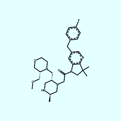 COC[C@@H]1COCCN1C[C@H]1CN[C@H](C)CN1CC(=O)N1CC(C)(C)c2ncc(Cc3ccc(F)cc3)cc21